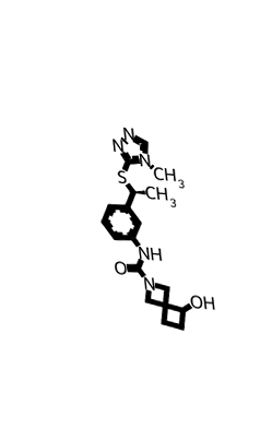 C[C@H](Sc1nncn1C)c1cccc(NC(=O)N2CC3(CCC3O)C2)c1